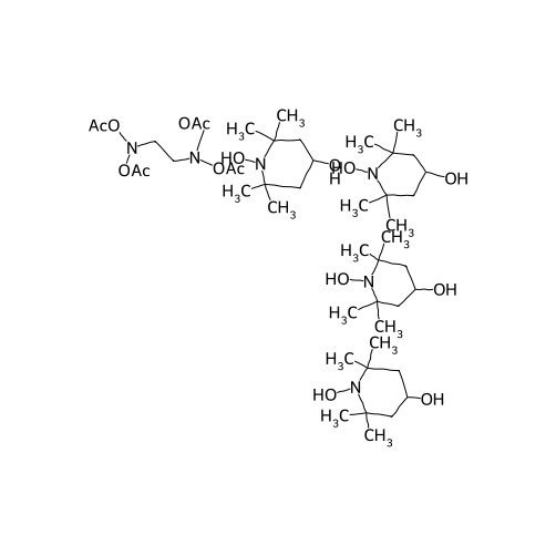 CC(=O)ON(CCN(OC(C)=O)OC(C)=O)OC(C)=O.CC1(C)CC(O)CC(C)(C)N1O.CC1(C)CC(O)CC(C)(C)N1O.CC1(C)CC(O)CC(C)(C)N1O.CC1(C)CC(O)CC(C)(C)N1O